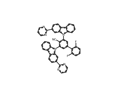 N#Cc1c(-n2c3ccccc3c3ccc(-c4ncccn4)cc32)cc(-c2c(F)cccc2F)cc1-n1c2ccccc2c2ccc(-c3ncccn3)cc21